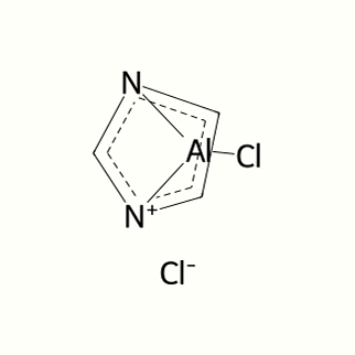 [Cl-].[Cl][Al]1[n]2cc[n+]1c2